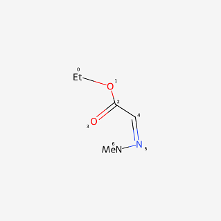 CCOC(=O)/C=N\NC